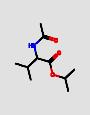 CC(=O)NC(C(=O)OC(C)C)C(C)C